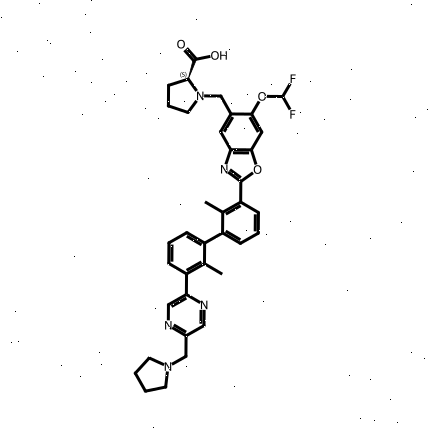 Cc1c(-c2cnc(CN3CCCC3)cn2)cccc1-c1cccc(-c2nc3cc(CN4CCC[C@H]4C(=O)O)c(OC(F)F)cc3o2)c1C